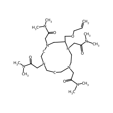 C=CCOCC1CN(CC(=O)N(C)C)CCN(CC(=O)N(C)C)CCCN(CC(=O)N(C)C)CCN1CC(=O)N(C)C